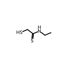 CCNC(=S)CS